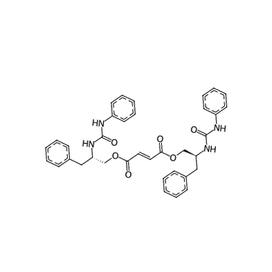 O=C(Nc1ccccc1)N[C@H](COC(=O)/C=C/C(=O)OC[C@H](Cc1ccccc1)NC(=O)Nc1ccccc1)Cc1ccccc1